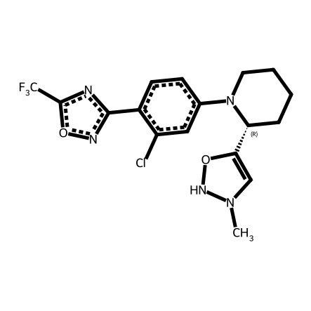 CN1C=C([C@H]2CCCCN2c2ccc(-c3noc(C(F)(F)F)n3)c(Cl)c2)ON1